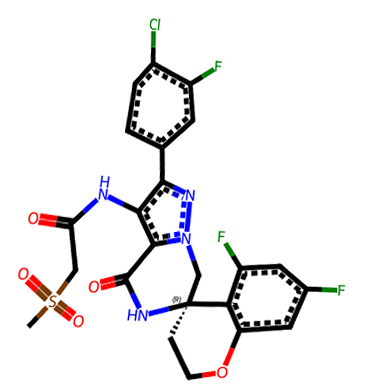 CS(=O)(=O)CC(=O)Nc1c(-c2ccc(Cl)c(F)c2)nn2c1C(=O)N[C@@]1(CCOc3cc(F)cc(F)c31)C2